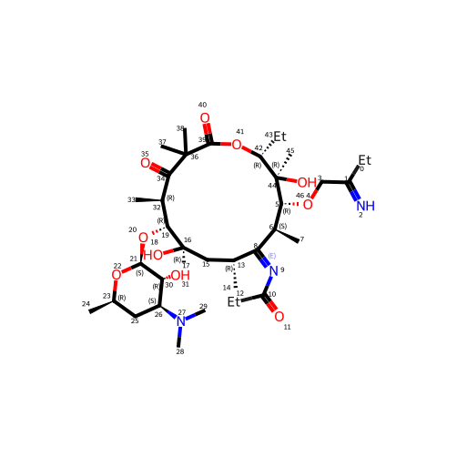 CCC(=N)CO[C@@H]1[C@@H](C)/C(=N/C(=O)CC)[C@H](C)C[C@@](C)(O)[C@H](O[C@@H]2O[C@H](C)C[C@H](N(C)C)[C@H]2O)[C@@H](C)C(=O)C(C)(C)C(=O)O[C@H](CC)[C@@]1(C)O